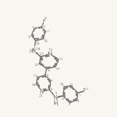 Fc1ccc(Nc2cc(-c3ccnc(Nc4ccc(F)cc4)c3)ccn2)cc1